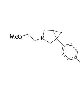 COCCN1CC2CC2(c2ccc(C)cc2)C1